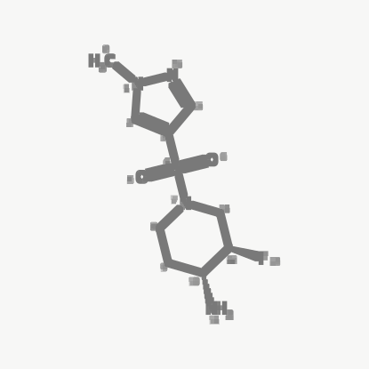 Cn1cc(S(=O)(=O)N2CC[C@@H](N)[C@H](F)C2)cn1